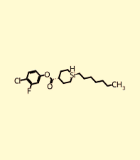 CCCCCCC[Si@H]1CC[C@H](C(=O)Oc2ccc(Cl)c(F)c2)CC1